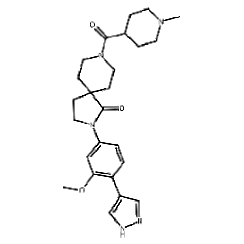 COc1cc(N2CCC3(CCN(C(=O)C4CCN(C)CC4)CC3)C2=O)ccc1-c1cn[nH]c1